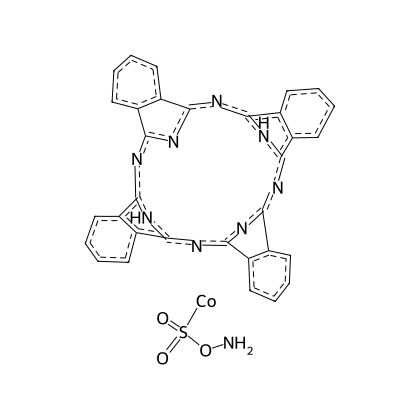 NO[S](=O)(=O)[Co].c1ccc2c(c1)-c1nc-2nc2[nH]c(nc3nc(nc4[nH]c(n1)c1ccccc41)-c1ccccc1-3)c1ccccc21